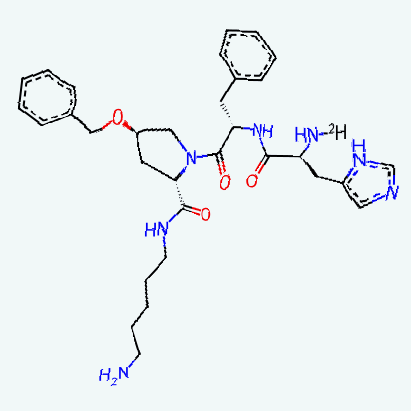 [2H]N[C@@H](Cc1cnc[nH]1)C(=O)N[C@@H](Cc1ccccc1)C(=O)N1C[C@H](OCc2ccccc2)C[C@H]1C(=O)NCCCCCN